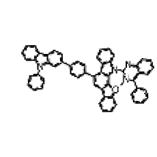 CN1C(c2ccccc2)=c2ccccc2=NC1n1c2ccccc2c2c(-c3ccc(-c4ccc5c6ccccc6n(-c6ccccc6)c5c4)cc3)cc3c4ccccc4oc3c21